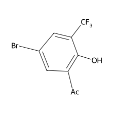 CC(=O)c1cc(Br)cc(C(F)(F)F)c1O